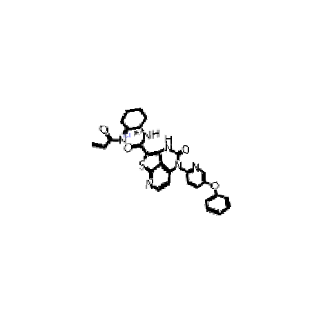 C=CC(=O)/N=C1\CCCC[C@H]1NC(=O)c1sc2nccc3c2c1NC(=O)N3c1ccc(Oc2ccccc2)cn1